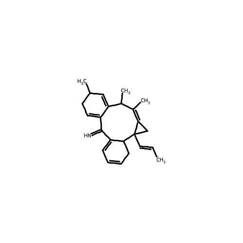 CC=CC12C/C1=C(\C)C(C)C1=CC(C)CC=C1C(=N)C1=CC=CCC12